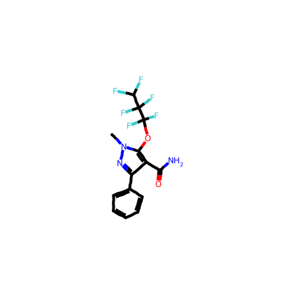 Cn1nc(-c2ccccc2)c(C(N)=O)c1OC(F)(F)C(F)(F)C(F)F